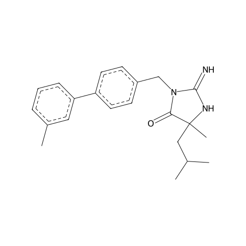 Cc1cccc(-c2ccc(CN3C(=N)NC(C)(CC(C)C)C3=O)cc2)c1